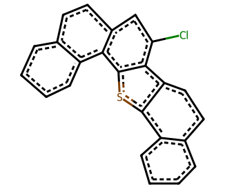 Clc1cc2ccc3ccccc3c2c2sc3c4ccccc4ccc3c12